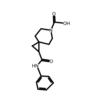 O=C(Nc1ccccc1)C1CC12CCN(C(=O)O)CC2